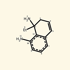 CCC1(N)CC=Cc2cccc(N)c21